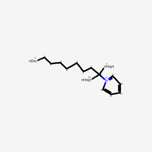 CCCCCCCCCCCCCCCCCC(CCCCCCC)(CCCCCCC)[n+]1ccccc1